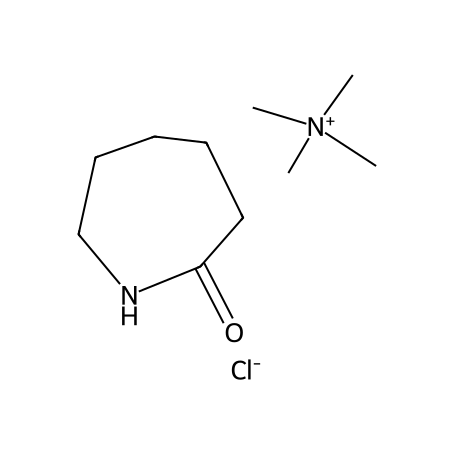 C[N+](C)(C)C.O=C1CCCCCN1.[Cl-]